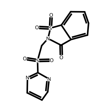 O=C1c2ccccc2S(=O)(=O)N1CS(=O)(=O)c1ncccn1